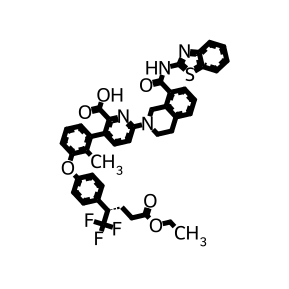 CCOC(=O)CC[C@@H](c1ccc(Oc2cccc(-c3ccc(N4CCc5cccc(C(=O)Nc6nc7ccccc7s6)c5C4)nc3C(=O)O)c2C)cc1)C(F)(F)F